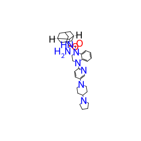 NC(=O)C12CC3C[C@H](C1)C(NC(=O)N1CCN(c4ccc(N5CCC(N6CCCC6)CC5)cn4)c4ccccc41)[C@@H](C3)C2